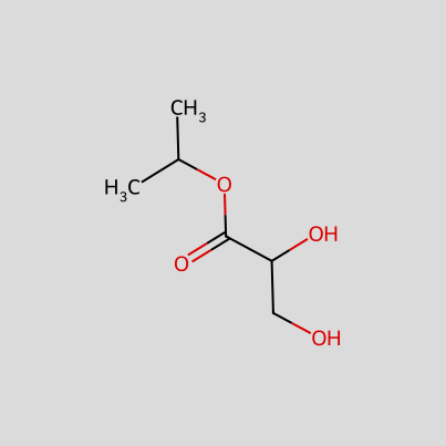 CC(C)OC(=O)C(O)CO